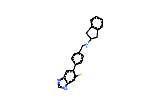 Fc1cc2[nH]cnc2cc1-c1ccc(CNC2Cc3ccccc3C2)cc1